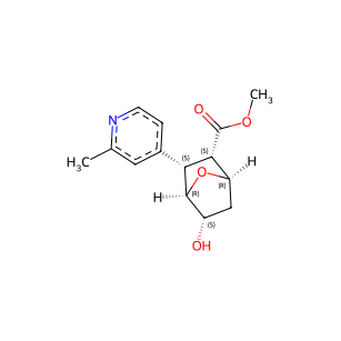 COC(=O)[C@H]1[C@@H](c2ccnc(C)c2)[C@H]2O[C@@H]1C[C@@H]2O